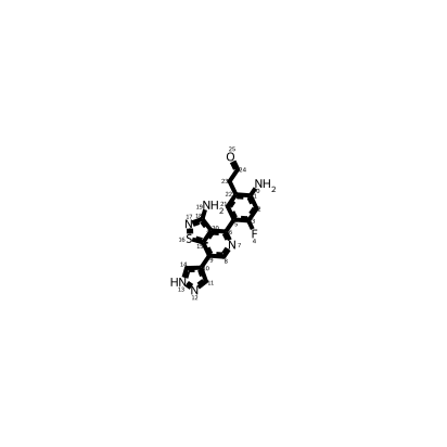 Nc1cc(F)c(-c2ncc(-c3cn[nH]c3)c3snc(N)c23)cc1CC=O